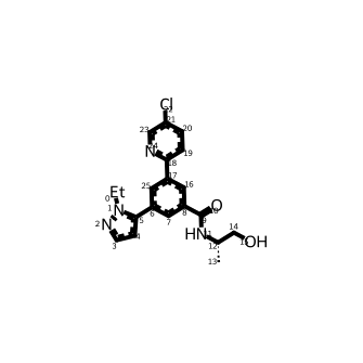 CCn1nccc1-c1cc(C(=O)N[C@@H](C)CO)cc(-c2ccc(Cl)cn2)c1